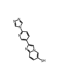 Sc1ccc2nc(-c3ccc(-n4cnnc4)nc3)cn2c1